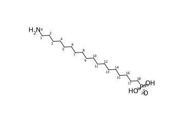 NCCCCCCCCCCCCCCCCCCP(=O)(O)O